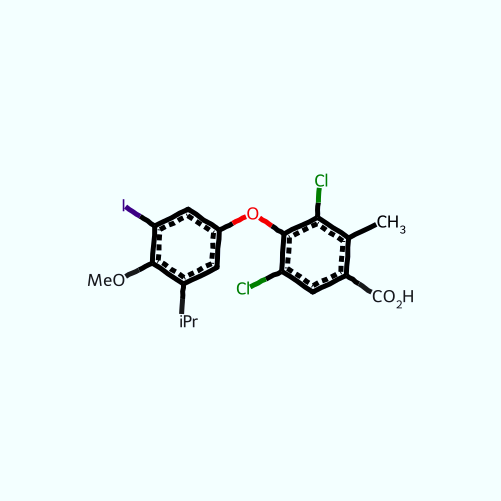 COc1c(I)cc(Oc2c(Cl)cc(C(=O)O)c(C)c2Cl)cc1C(C)C